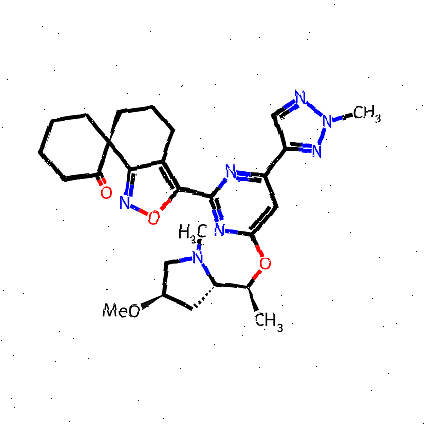 CO[C@@H]1C[C@@H]([C@H](C)Oc2cc(-c3cnn(C)n3)nc(-c3onc4c3CCC[C@@]43CCCCC3=O)n2)N(C)C1